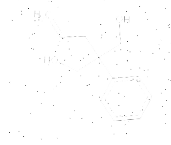 C=CCC(CO)(CO)c1ccccc1